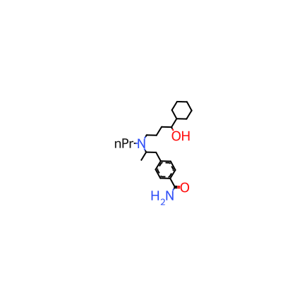 CCCN(CCCC(O)C1CCCCC1)C(C)Cc1ccc(C(N)=O)cc1